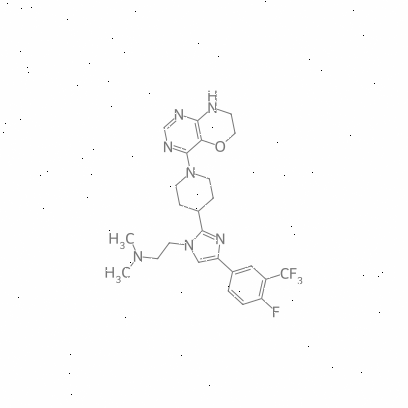 CN(C)CCn1cc(-c2ccc(F)c(C(F)(F)F)c2)nc1C1CCN(c2ncnc3c2OCCN3)CC1